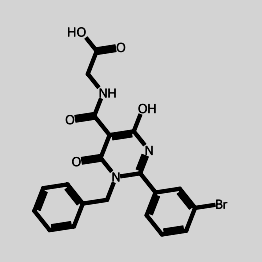 O=C(O)CNC(=O)c1c(O)nc(-c2cccc(Br)c2)n(Cc2ccccc2)c1=O